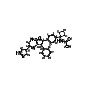 O=C(O)NC1(c2ccc(-c3oc4ncc(-c5cn[nH]c5)nc4c3-c3ccccc3)cc2)CCC1